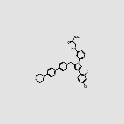 COC(=O)CNc1cccc(-n2cc(-c3ccc(Cl)cc3Cl)nc2Cc2ccc(-c3ccc(N4CCOCC4)cc3)cc2)c1